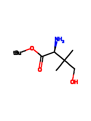 CC(C)(C)OC(=O)[C@@H](N)C(C)(C)CO